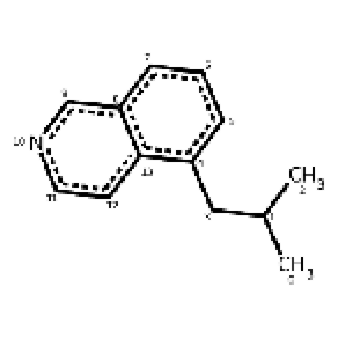 CC(C)Cc1cccc2cnccc12